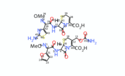 CO/N=C(/C(=O)N[C@@H]1C(=O)N2C(C(=O)O)=C(COC(N)=O)CS[C@H]12)c1ccco1.CO/N=C(\C(=O)N[C@@H]1C(=O)N2C(C(=O)O)=CCS[C@H]12)c1csc(N)n1